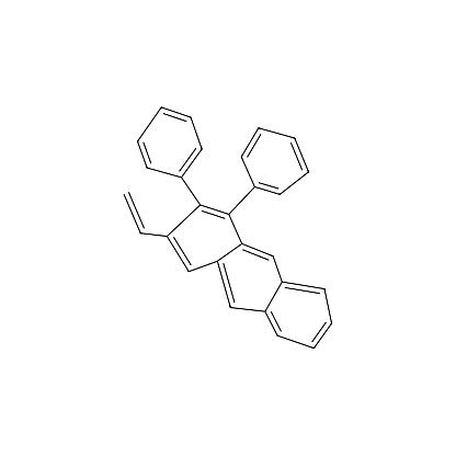 C=Cc1cc2cc3ccccc3cc2c(-c2ccccc2)c1-c1ccccc1